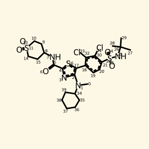 CN(c1nc(C(=O)NC2CCS(=O)(=O)CC2)sc1-c1ccc(S(=O)(=O)NC(C)(C)C)c(Cl)c1Cl)C1CCCCC1